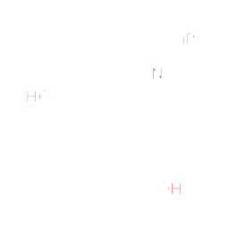 CC(C)N1CC(O)CC(O)C1